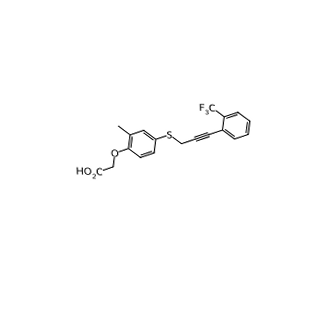 Cc1cc(SCC#Cc2ccccc2C(F)(F)F)ccc1OCC(=O)O